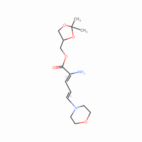 CC1(C)OCC(COC(=O)/C(N)=C/C=C/N2CCOCC2)O1